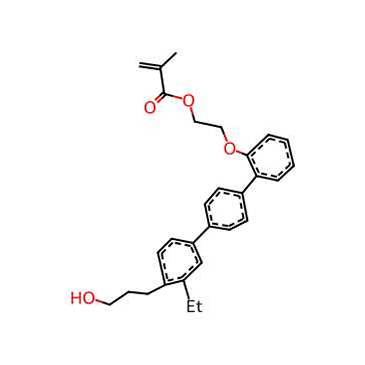 C=C(C)C(=O)OCCOc1ccccc1-c1ccc(-c2ccc(CCCO)c(CC)c2)cc1